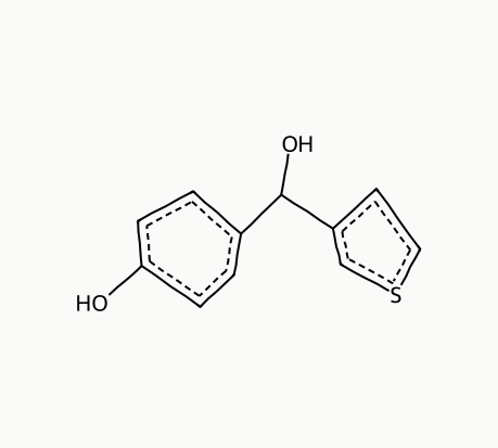 Oc1ccc(C(O)c2ccsc2)cc1